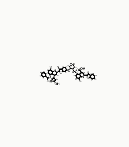 Cc1c(-c2cc(C(=O)O)c3c(OC[C@@H]4CCOC[C@@H]4Oc4ccc5c(C)c(-c6cc(-c7cc(O)[nH]n7)c7c(OC(C)c8ccccc8)ccc(C)c7n6)oc5c4)ccc(C)c3n2)oc2ccccc12